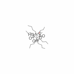 CCCC[N+](CCCC)(CCCC)C([N+](CCCC)(CCCC)CCCC)(P(=O)([O-])[O-])P(=O)(O)O